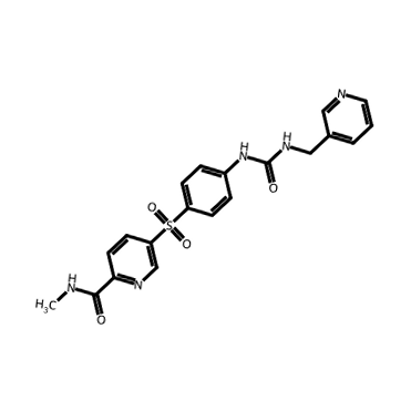 CNC(=O)c1ccc(S(=O)(=O)c2ccc(NC(=O)NCc3cccnc3)cc2)cn1